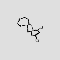 Clc1cc(Cl)c2c(c1)N=C1CCSCCN1C2